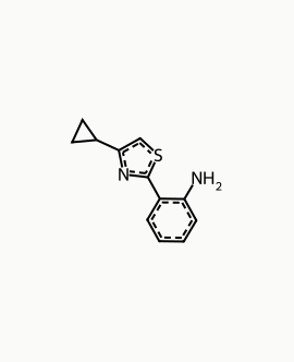 Nc1ccccc1-c1nc(C2CC2)cs1